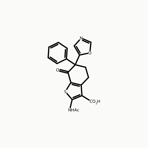 CC(=O)Nc1sc2c(c1C(=O)O)CCC(c1ccccc1)(c1cnco1)C2=O